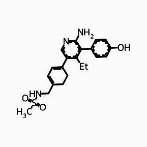 CCc1c(C2=CC=C(CNS(C)(=O)=O)CC2)cnc(N)c1-c1ccc(O)cc1